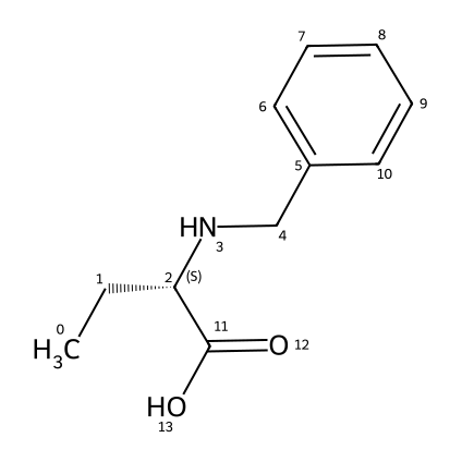 CC[C@H](NCc1ccccc1)C(=O)O